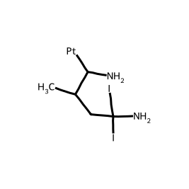 CC(CC(N)(I)I)[CH](N)[Pt]